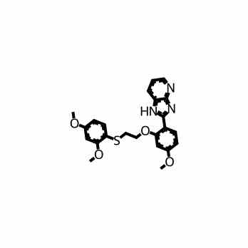 COc1ccc(SCCOc2cc(OC)ccc2-c2nc3ncccc3[nH]2)c(OC)c1